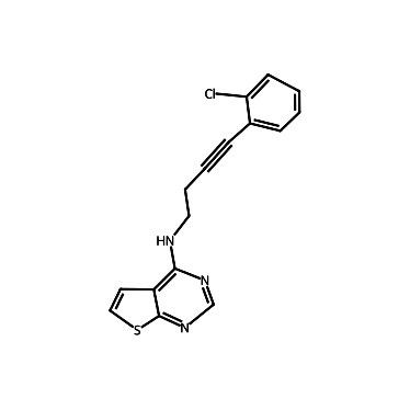 Clc1ccccc1C#CCCNc1ncnc2sccc12